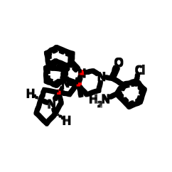 Cc1nc2ccccc2n1[C@H]1C[C@H]2CC[C@@H](C1)N2CCC1(c2ccccc2)CCN(C(=O)c2c(N)cccc2Cl)CC1